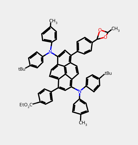 CCOC(=O)c1ccc(-c2cc(N(c3ccc(C)cc3)c3ccc(C(C)(C)C)cc3)c3ccc4c(-c5ccc(C6OC(C)O6)cc5)cc(N(c5ccc(C)cc5)c5ccc(C(C)(C)C)cc5)c5ccc2c3c45)cc1